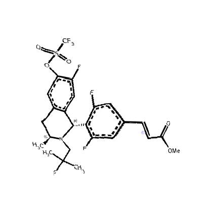 COC(=O)/C=C/c1cc(F)c([C@H]2c3cc(F)c(OS(=O)(=O)C(F)(F)F)cc3C[C@H](C)N2CC(C)(C)F)c(F)c1